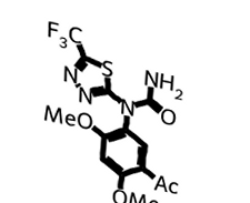 COc1cc(OC)c(N(C(N)=O)c2nnc(C(F)(F)F)s2)cc1C(C)=O